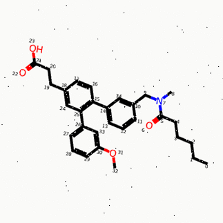 CCCCCC(=O)N(C)Cc1cccc(-c2ccc(CCC(=O)O)cc2-c2cccc(OC)c2)c1